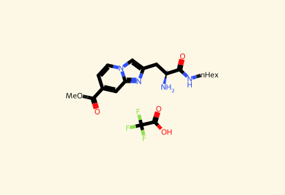 CCCCCCNC(=O)[C@@H](N)Cc1cn2ccc(C(=O)OC)cc2n1.O=C(O)C(F)(F)F